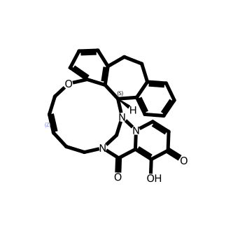 O=C1c2c(O)c(=O)ccn2N2CN1CC/C=C\COc1cccc3c1[C@@H]2c1ccccc1CC3